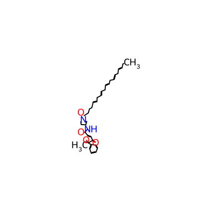 CCC=CCC=CCC=CCC=CCC=CCCCC(=O)N1CCC(NC(=O)C2=CC(=O)C(C)(c3ccccc3)O2)C1